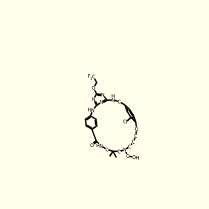 CC1(C)CNC(=O)c2ccc(cc2)Nc2nc(nc(OCC(F)(F)F)n2)NCc2ccc(c(Cl)c2)OCCCN(OO)C1